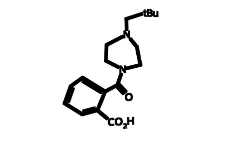 CC(C)(C)CN1CCN(C(=O)c2ccccc2C(=O)O)CC1